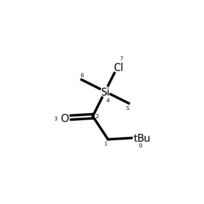 CC(C)(C)CC(=O)[Si](C)(C)Cl